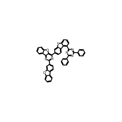 c1ccc(-c2nc(-c3ccccc3)nc(-c3cccc4sc5cc(-c6nc(-c7ccc8c(c7)oc7ccccc78)nc7c6oc6ccccc67)ccc5c34)n2)cc1